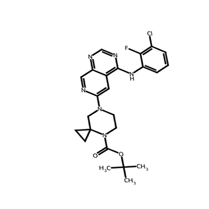 CC(C)(C)OC(=O)N1CCN(c2cc3c(Nc4cccc(Cl)c4F)ncnc3cn2)CC12CC2